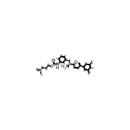 C=C(/C=C\C(=O)N(N)Cc1cccc(NC(=O)OCCCN(C)C)c1)c1cc(F)cc(F)c1